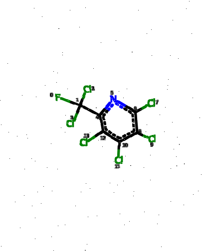 FC(Cl)(Cl)c1nc(Cl)c(Cl)c(Cl)c1Cl